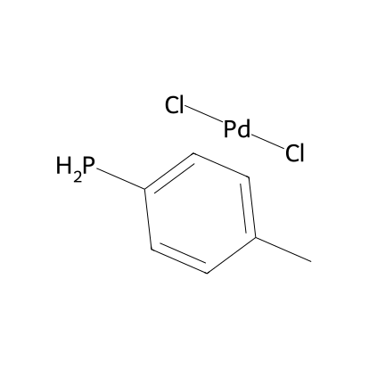 Cc1ccc(P)cc1.[Cl][Pd][Cl]